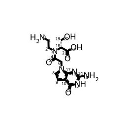 NCCN(C(=O)Cn1ccc2c(=O)[nH]c(N)nc21)[C@H](CO)C(=O)O